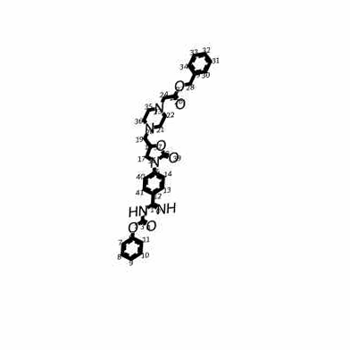 N=C(NC(=O)Oc1ccccc1)c1ccc(N2CC(CN3CCN(CC(=O)OCc4ccccc4)CC3)OC2=O)cc1